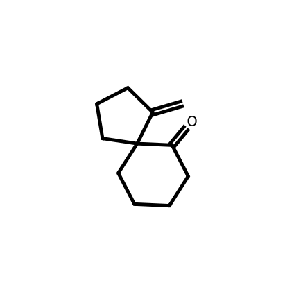 C=C1CCCC12CCCCC2=O